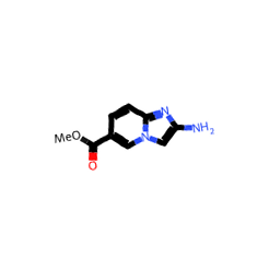 COC(=O)c1ccc2nc(N)cn2c1